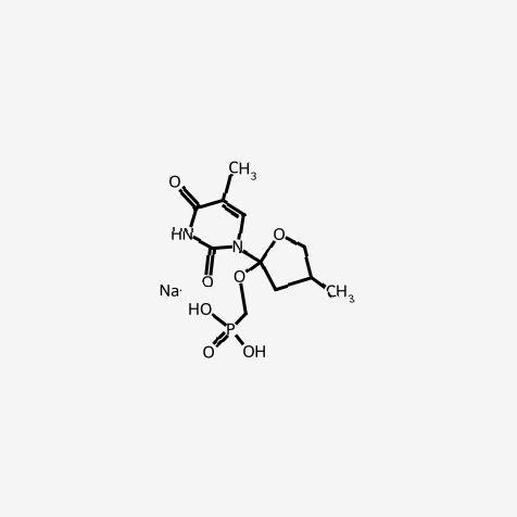 Cc1cn(C2(OCP(=O)(O)O)CC(C)CO2)c(=O)[nH]c1=O.[Na]